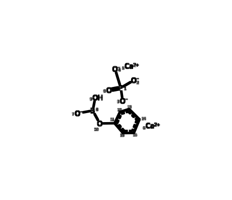 O=P([O-])([O-])[O-].[Ca+2].[Ca+2].[O-]B(O)Oc1ccccc1